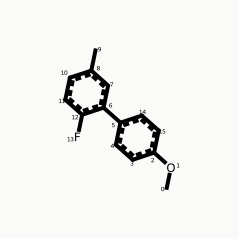 COc1ccc(-c2cc(C)ccc2F)cc1